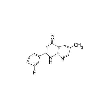 Cc1cnc2[nH]c(-c3cccc(F)c3)cc(=O)c2c1